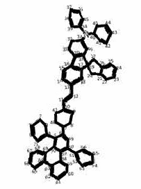 C1=CCCC(c2c(C3CC=C(/C=C/c4ccc5c(c4)C4(Cc6ccccc6C4)C4=C5CCC(N(c5ccccc5)C5C=CC=CC5)=C4)CC3)cc(-c3ccccc3)c3c4ccccc4c4ccccc4c23)=C1